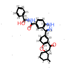 CC1CCCC2(CC(=O)c3cc(-c4n[nH]c5ccc(C(=O)N[C@@H](O)c6ccccc6)cc45)ccc3O2)C1